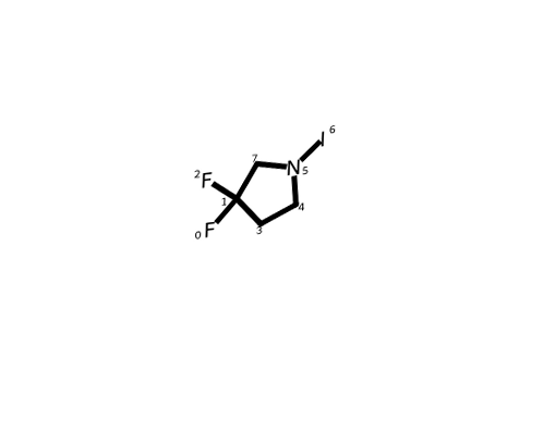 FC1(F)CCN(I)C1